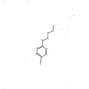 CCCCSc1ccc(F)cc1